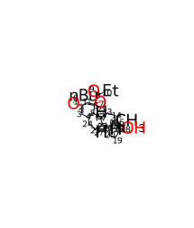 CCCCOc1cc2c(c(OC(=O)CC)c1)[C@H]1CC[C@]3(C)[C@@H](O)CC[C@H]3[C@@H]1CC2